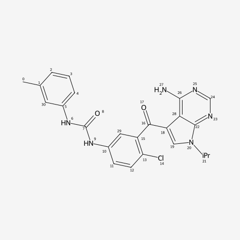 Cc1cccc(NC(=O)Nc2ccc(Cl)c(C(=O)c3cn(C(C)C)c4ncnc(N)c34)c2)c1